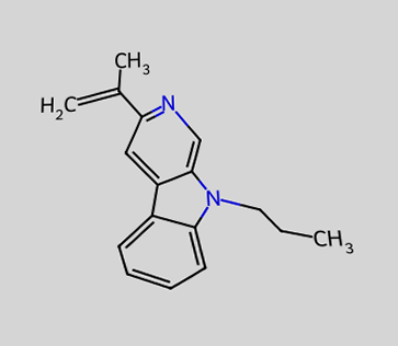 C=C(C)c1cc2c3ccccc3n(CCC)c2cn1